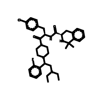 CCN(CC)CC(c1ccccc1F)N1CCN(C(=O)[C@@H](Cc2ccc(Cl)cc2)NC(=O)[C@@H]2Cc3ccccc3C(C)(C)N2)CC1